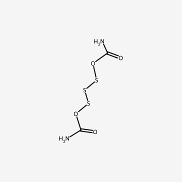 NC(=O)OSSSOC(N)=O